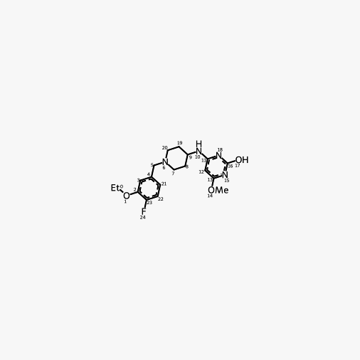 CCOc1cc(CN2CCC(Nc3cc(OC)nc(O)n3)CC2)ccc1F